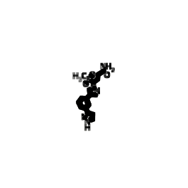 CS(=O)(=O)C(CCC(N)=O)n1cc(-c2cccc(-c3cc[nH]n3)c2)cn1